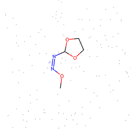 CO/N=N\C1OCCO1